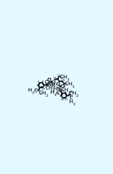 C=C(C)c1cccc(C(C)(C)NC(=O)OCC(CC)C(CCC)OC(=O)NC(C)(C)c2cccc(C(=C)C)c2)c1